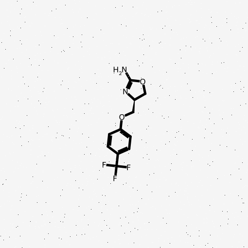 NC1=N[C@H](COc2ccc(C(F)(F)F)cc2)CO1